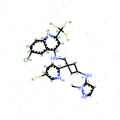 Cn1nccc1NC1CC(CNc2cc(C(F)(F)F)nc3ccc(Cl)cc23)(c2ccc(F)cn2)C1